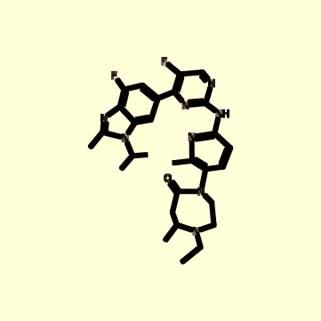 CCN1CCN(c2ccc(Nc3ncc(F)c(-c4cc(F)c5nc(C)n(C(C)C)c5c4)n3)nc2C)C(=O)CC1C